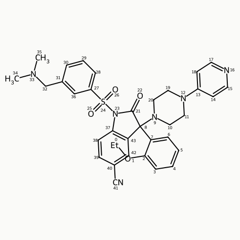 CCOc1ccccc1C1(N2CCN(c3ccncc3)CC2)C(=O)N(S(=O)(=O)c2cccc(CN(C)C)c2)c2ccc(C#N)cc21